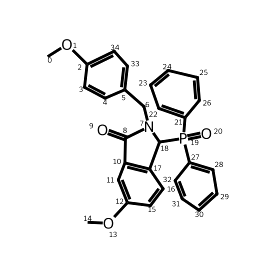 COc1ccc(CN2C(=O)c3cc(OC)ccc3C2P(=O)(c2ccccc2)c2ccccc2)cc1